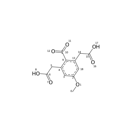 COc1cc(CC(=O)O)c(I(=O)=O)c(CC(=O)O)c1